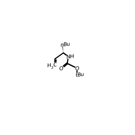 C=C[C@H](CCCC)NC(=O)OC(C)(C)C